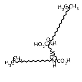 CN(C)CCCCCCCCCCCCCCCC(=O)NC(CCSSCCC(NC(=O)CCCCCCCCCCCCCCCN(C)C)C(=O)O)C(=O)O